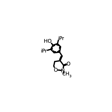 CC(C)c1cc(C=C2CCON(C)C2=O)cc(C(C)C)c1O